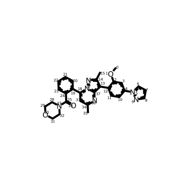 COc1cc(-n2cccn2)ccc1-c1c(C)nn2c(-c3ccccc3C(=O)N3CCOCC3)cc(C)nc12